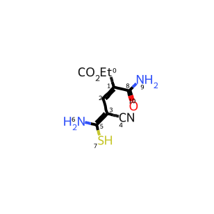 CCOC(=O)/C(=C/C(C#N)=C(\N)S)C(N)=O